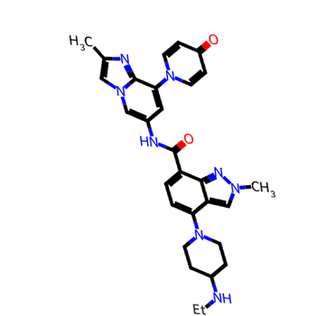 CCNC1CCN(c2ccc(C(=O)Nc3cc(-n4ccc(=O)cc4)c4nc(C)cn4c3)c3nn(C)cc23)CC1